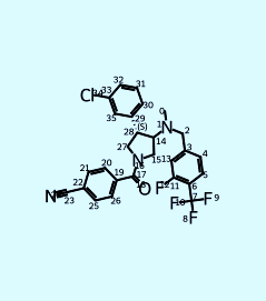 CN(Cc1ccc(C(F)(F)F)c(F)c1)C1CN(C(=O)c2ccc(C#N)cc2)C[C@@H]1c1cccc(Cl)c1